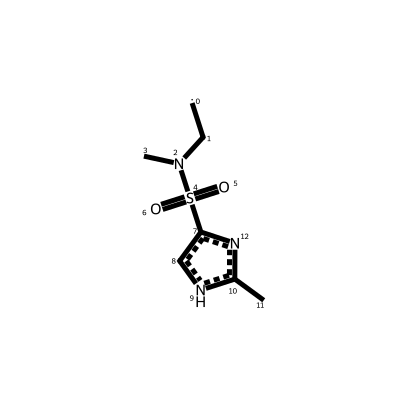 [CH2]CN(C)S(=O)(=O)c1c[nH]c(C)n1